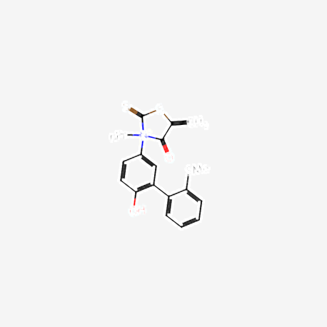 C=C1SC(=S)[N+](CCC)(c2ccc(O)c(-c3ccccc3SC)c2)C1=O